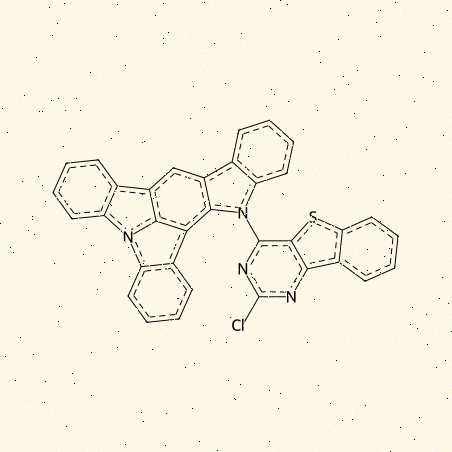 Clc1nc(-n2c3ccccc3c3cc4c5ccccc5n5c6ccccc6c(c32)c45)c2sc3ccccc3c2n1